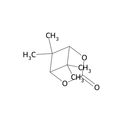 CC1(C)C2OC(=O)OC1C2(C)C